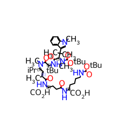 C/C(=C\[C@H](C(C)C)N(C)C(=O)[C@@H](NC(=O)[C@@H](N(C)C(=O)OC(C)(C)C)C(C)(C)c1cn(C)c2ccccc12)C(C)(C)C)C(=O)N[C@H](CCC(=O)N[C@@H](CCCCNC(=O)OC(C)(C)C)C(=O)O)C(=O)O